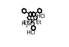 CCC1=Cc2c(-c3ccccc3)cccc2[CH]1[Zr](=[SiH2])([CH2]c1ccccc1)[CH]1C(CC)=Cc2c(-c3ccccc3)cccc21.Cl.Cl